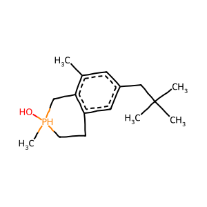 Cc1cc(CC(C)(C)C)cc2c1C[PH](C)(O)CC2